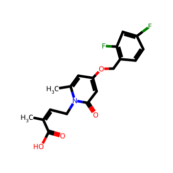 CC(=CCn1c(C)cc(OCc2ccc(F)cc2F)cc1=O)C(=O)O